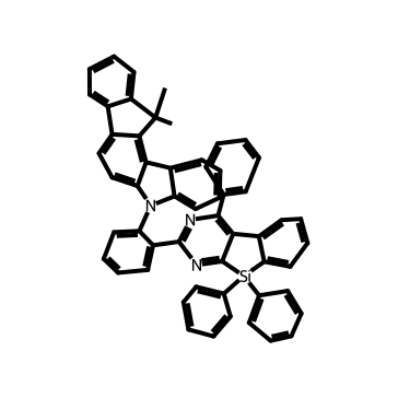 CC1(C)c2ccccc2-c2ccc3c(c21)c1ccccc1n3-c1ccccc1-c1nc(-c2ccccc2)c2c(n1)[Si](c1ccccc1)(c1ccccc1)c1ccccc1-2